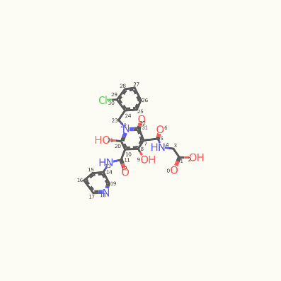 O=C(O)CNC(=O)c1c(O)c(C(=O)Nc2cccnc2)c(O)n(Cc2ccccc2Cl)c1=O